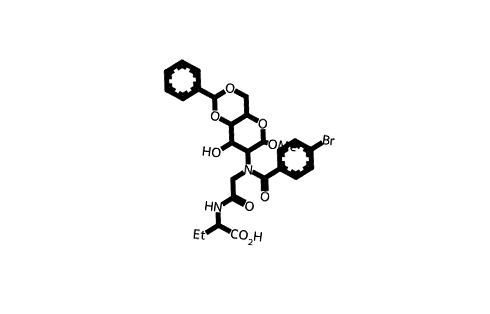 CCC(NC(=O)CN(C(=O)c1ccc(Br)cc1)C1C(OC)OC2COC(c3ccccc3)OC2C1O)C(=O)O